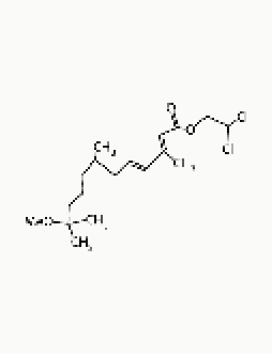 COC(C)(C)CCCC(C)CC=CC(C)=CC(=O)OCC(Cl)Cl